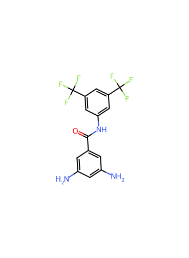 Nc1cc(N)cc(C(=O)Nc2cc(C(F)(F)F)cc(C(F)(F)F)c2)c1